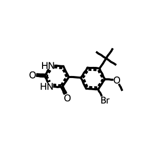 COc1c(Br)cc(-c2c[nH]c(=O)[nH]c2=O)cc1C(C)(C)C